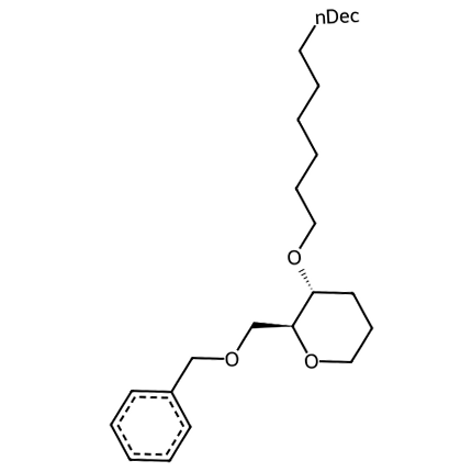 CCCCCCCCCCCCCCCCO[C@@H]1CCCO[C@H]1COCc1ccccc1